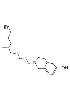 CC(C)CCCC(C)CCCCCN1CCC2CC(O)=CC=C2C1